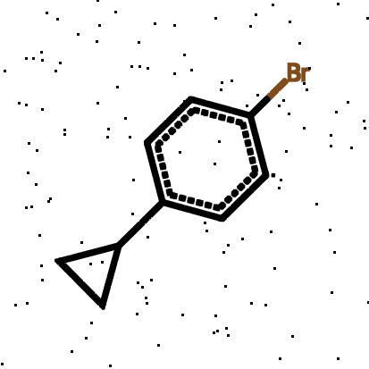 Brc1[c]cc(C2CC2)cc1